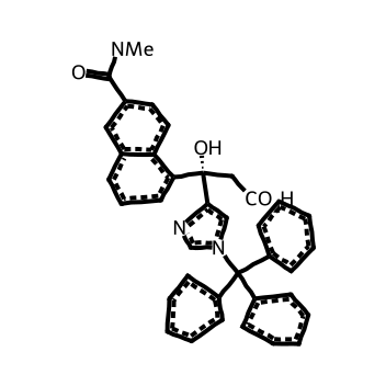 CNC(=O)c1ccc2c([C@@](O)(CC(=O)O)c3cn(C(c4ccccc4)(c4ccccc4)c4ccccc4)cn3)cccc2c1